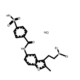 CCCS(=O)(=O)c1ccc(C(=O)Nc2ccc3oc(C)c(CCN(CC)CC)c3c2)cc1.Cl